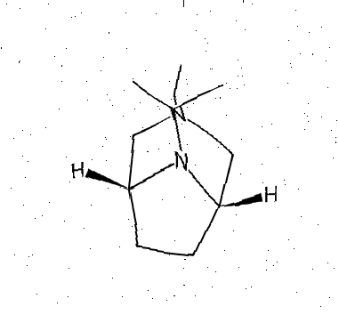 CC(C)N1[C@@H]2CC[C@H]1CN(C)C2